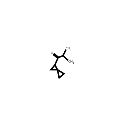 CC(C)C(=O)C1CC12CC2